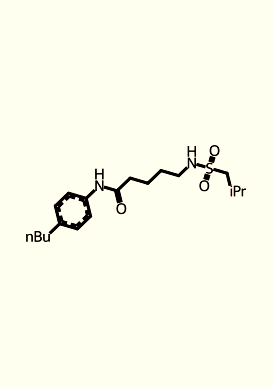 CCCCc1ccc(NC(=O)CCCCNS(=O)(=O)CC(C)C)cc1